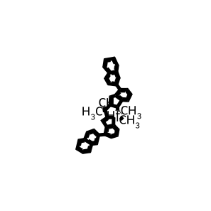 CC1(C)C2=Cc3c(-c4ccc5ccccc5c4)cccc3[CH]2[Hf]([CH3])([CH3])[CH]2C1=Cc1c(-c3ccc4ccccc4c3)cccc12